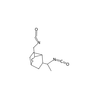 CC(N=C=O)C1CC2CCC1C(CN=C=O)C2